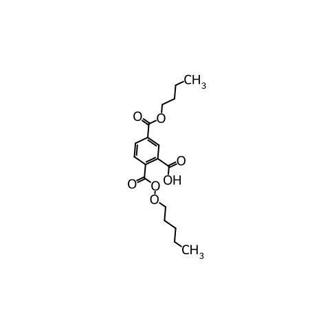 CCCCCOOC(=O)c1ccc(C(=O)OCCCC)cc1C(=O)O